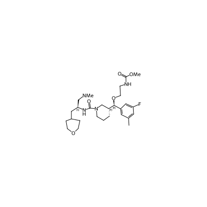 CNC[C@H](CC1CCOCC1)NC(=O)N1CCC[C@@H]([C@@H](OCCNC(=O)OC)c2cc(C)cc(F)c2)C1